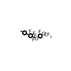 Cc1ccc(-c2ccc(C(F)(F)Oc3ccc(OC(F)(F)F)c(F)c3)c(F)c2F)cc1